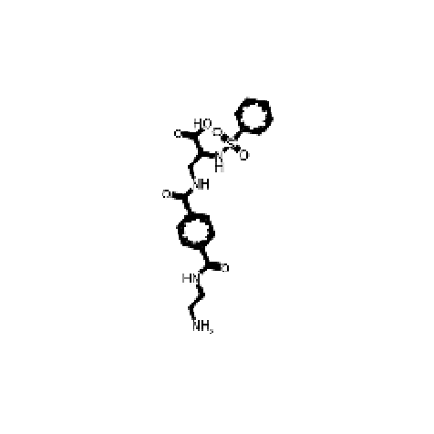 NCCNC(=O)c1ccc(C(=O)NCC(NS(=O)(=O)c2ccccc2)C(=O)O)cc1